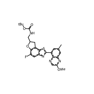 COc1cnc2c(-c3nc4cc(F)c5c(c4s3)CC(CNC(=O)OC(C)(C)C)O5)cc(C)cc2n1